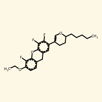 CCCCCC1CCC(c2cc3c(c(F)c2F)Oc2c(ccc(OCC)c2F)C3)=CO1